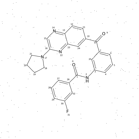 O=C(Nc1cccc(C(=O)c2ccc3ncc(N4CCCC4)nc3c2)c1)c1cccc(F)c1